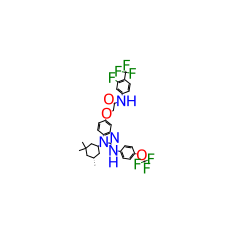 C[C@H]1C[C@@H](n2c(Nc3ccc(OC(F)(F)F)cc3)nc3cc(OCC(=O)Nc4ccc(C(F)(F)F)c(F)c4)ccc32)CC(C)(C)C1